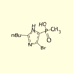 CCCCc1nc(Br)c(P(C)(=O)O)[nH]1